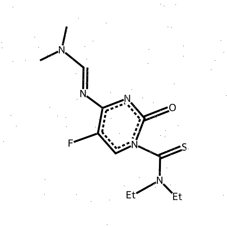 CCN(CC)C(=S)n1cc(F)c(N=CN(C)C)nc1=O